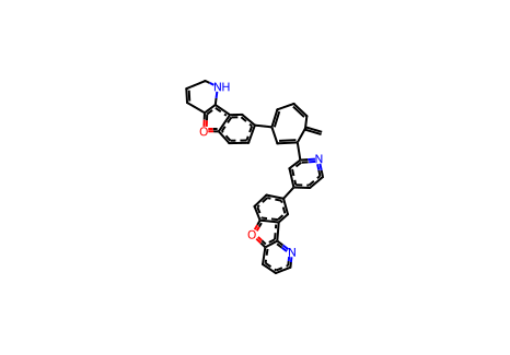 C=C1C=CC=C(c2ccc3oc4c(c3c2)NCC=C4)C=C1c1cc(-c2ccc3oc4cccnc4c3c2)ccn1